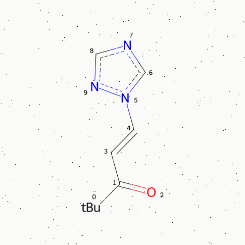 CC(C)(C)C(=O)C=Cn1cncn1